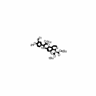 CCOc1cc(C(Nc2cc(F)c3c(N(C(=O)OC(C)(C)C)C(=O)OC(C)(C)C)nccc3c2)C(=O)OC)ccc1OC(C)C